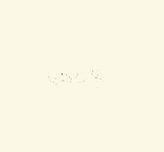 Cc1cc(C(=O)NS(=O)(=O)c2nccs2)c(F)cc1-c1cnc(OC2CCC2)c(Cl)c1